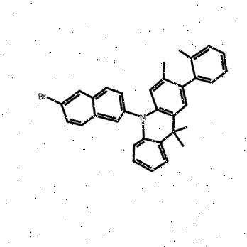 Cc1ccccc1-c1cc2c(cc1C)N(c1ccc3cc(Br)ccc3c1)c1ccccc1C2(C)C